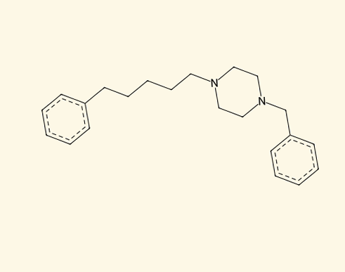 c1ccc(CCCCCN2CCN(Cc3ccccc3)CC2)cc1